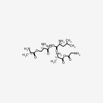 CC(C)C[C@H](N)C(=O)O.C[C@H](N)C(=O)OC(=O)CN.C[C@H](N)C(=O)OC[C@H](N)C(=O)O